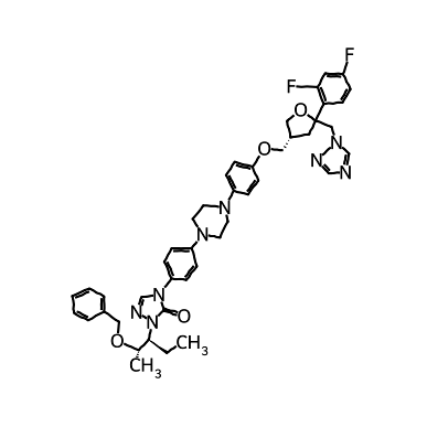 CC[C@@H]([C@H](C)OCc1ccccc1)n1ncn(-c2ccc(N3CCN(c4ccc(OC[C@@H]5COC(Cn6cncn6)(c6ccc(F)cc6F)C5)cc4)CC3)cc2)c1=O